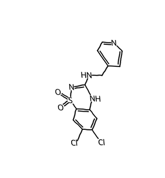 O=S1(=O)N=C(NCc2ccncc2)Nc2cc(Cl)c(Cl)cc21